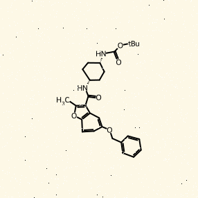 Cc1oc2ccc(OCc3ccccc3)cc2c1C(=O)N[C@H]1CC[C@@H](NC(=O)OC(C)(C)C)CC1